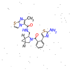 Cc1nc2sccn2c1C(=O)NC[C@@H]1[C@H]2C[C@H]2CN1C(=O)c1ccccc1-c1csc(N)n1